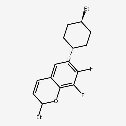 CCC1C=Cc2cc([C@H]3CC[C@H](CC)CC3)c(F)c(F)c2O1